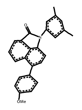 COc1ccc(-c2ccc3c4c(cccc24)C(=O)N3c2cc(C)cc(C)c2)cc1